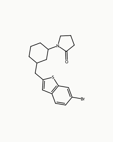 O=C1CCCN1C1CCCC(Cc2cc3ccc(Br)cc3s2)C1